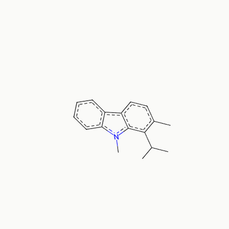 Cc1ccc2c3ccccc3n(C)c2c1C(C)C